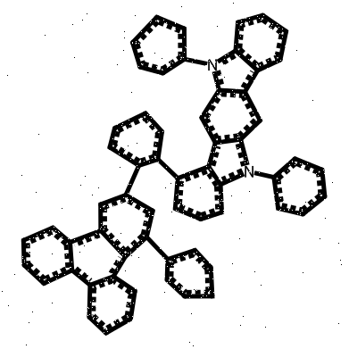 c1ccc(-c2cc(-c3ccccc3-c3cccc4c3c3cc5c(cc3n4-c3ccccc3)c3ccccc3n5-c3ccccc3)cc3c4ccccc4c4ccccc4c23)cc1